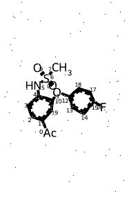 CC(=O)c1ccc(NS(C)(=O)=O)c(Oc2ccc(F)cc2)c1